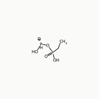 CCP(=O)(O)O[PH](=O)O